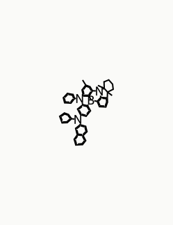 Cc1cc2c3c(c1)N1c4c(cccc4C4(C)CCCCC14C)B3c1ccc(N(c3ccccc3)c3ccc4ccccc4c3)cc1N2c1ccccc1